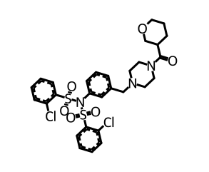 O=C(C1CCCOC1)N1CCN(Cc2cccc(N(S(=O)(=O)c3ccccc3Cl)S(=O)(=O)c3ccccc3Cl)c2)CC1